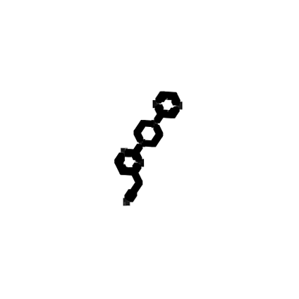 N#CCc1ccnc(N2CCN(c3cnccn3)CC2)n1